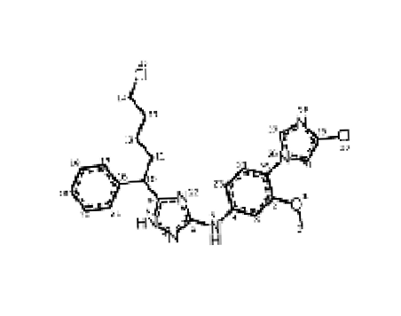 COc1cc(Nc2n[nH]c(C(CCCCCl)c3ccccc3)n2)ccc1-n1cnc(Cl)c1